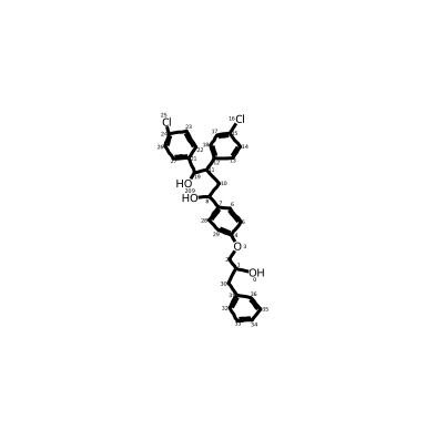 OC(COc1ccc(C(O)CC(c2ccc(Cl)cc2)C(O)c2ccc(Cl)cc2)cc1)Cc1ccccc1